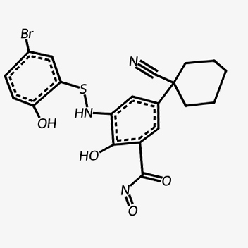 N#CC1(c2cc(NSc3cc(Br)ccc3O)c(O)c(C(=O)N=O)c2)CCCCC1